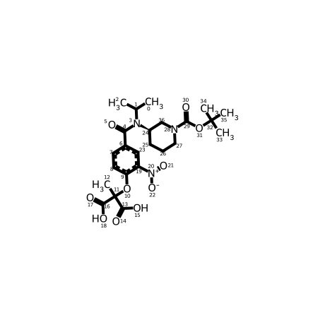 CC(C)N(C(=O)c1ccc(OC(C)(C(=O)O)C(=O)O)c([N+](=O)[O-])c1)[C@@H]1CCCN(C(=O)OC(C)(C)C)C1